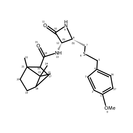 COc1ccc(CSC[C@H]2NC(=O)[C@H]2NC(=O)C2CC3CCC2(C)C3(C)C)cc1